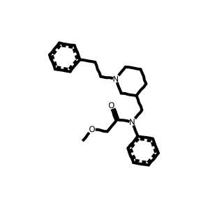 COCC(=O)N(CC1CCCN(CCc2ccccc2)C1)c1ccccc1